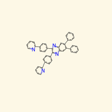 c1ccc(-c2cc3nc(-c4ccc(-c5ccccn5)cc4)c(-c4ccc(-c5ccccn5)cc4)nc3cc2-c2ccccc2)cc1